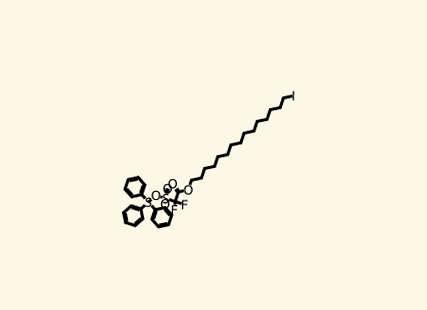 O=C(OCCCCCCCCCCCCCCCI)C(F)(F)S(=O)(=O)OS(c1ccccc1)(c1ccccc1)c1ccccc1